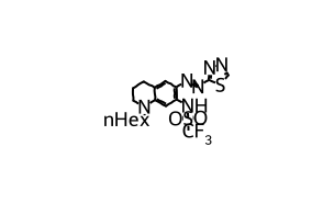 CCCCCCN1CCCc2cc(/N=N/c3nncs3)c(NS(=O)(=O)C(F)(F)F)cc21